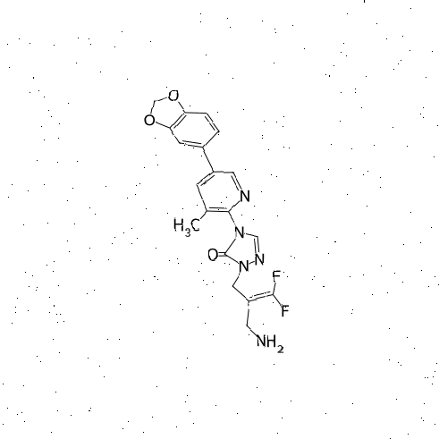 Cc1cc(-c2ccc3c(c2)OCO3)cnc1-n1cnn(CC(CN)=C(F)F)c1=O